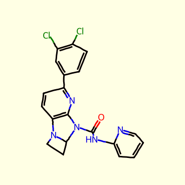 O=C(Nc1ccccn1)N1c2nc(-c3ccc(Cl)c(Cl)c3)ccc2N2CCC21